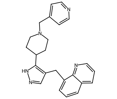 c1cnc2c(Cc3cn[nH]c3C3CCN(Cc4ccncc4)CC3)cccc2c1